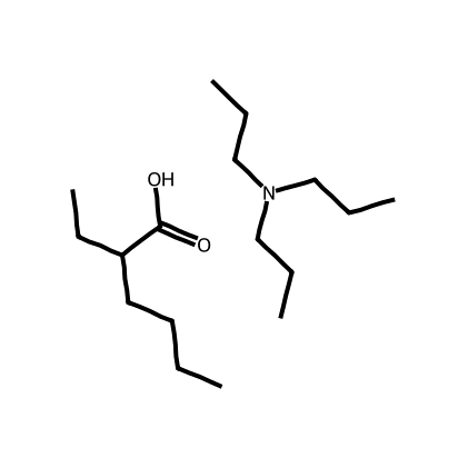 CCCCC(CC)C(=O)O.CCCN(CCC)CCC